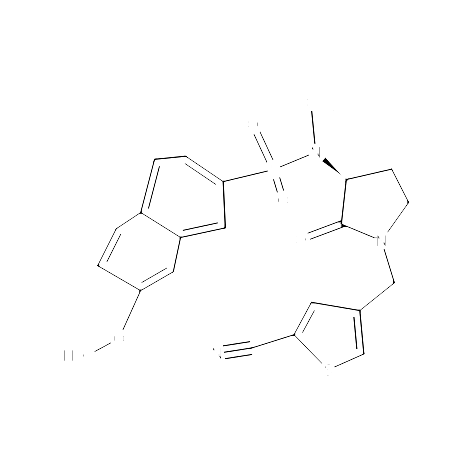 COc1ccc2ccc(S(=O)(=O)N(C)[C@H]3CCN(Cc4csc(C#N)c4)C3=O)cc2c1